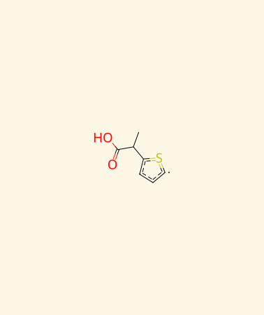 CC(C(=O)O)c1cc[c]s1